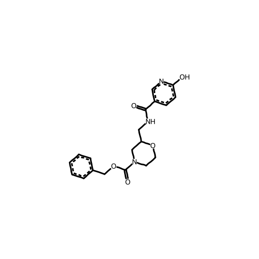 O=C(NCC1CN(C(=O)OCc2ccccc2)CCO1)c1ccc(O)nc1